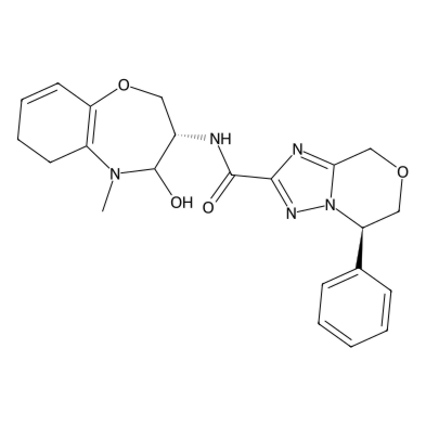 CN1C2=C(C=CCC2)OC[C@H](NC(=O)c2nc3n(n2)[C@H](c2ccccc2)COC3)C1O